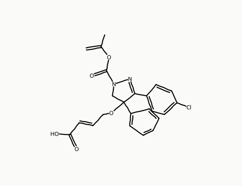 C=C(C)OC(=O)N1CC(OC/C=C/C(=O)O)(c2ccccc2)C(c2ccc(Cl)cc2)=N1